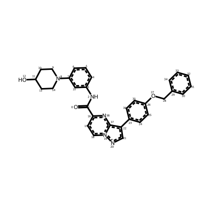 O=C(Nc1cccc(N2CCC(O)CC2)c1)c1ccn2ncc(-c3ccc(OCc4ccccc4)cc3)c2n1